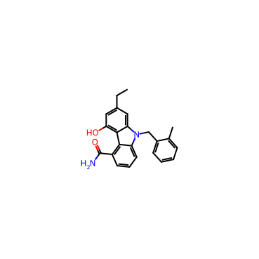 CCc1cc(O)c2c3c(C(N)=O)cccc3n(Cc3ccccc3C)c2c1